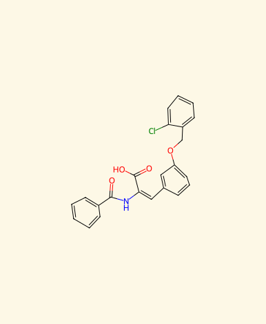 O=C(O)/C(=C\c1cccc(OCc2ccccc2Cl)c1)NC(=O)c1ccccc1